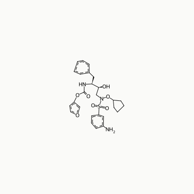 Nc1cccc(S(=O)(=O)N(C[C@H](O)[C@H](Cc2ccccc2)NC(=O)Oc2ccoc2)OC2CCCC2)c1